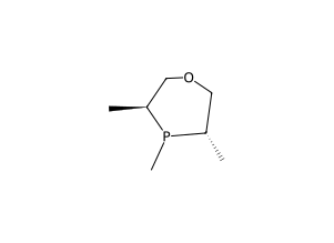 C[C@H]1COC[C@H](C)P1C